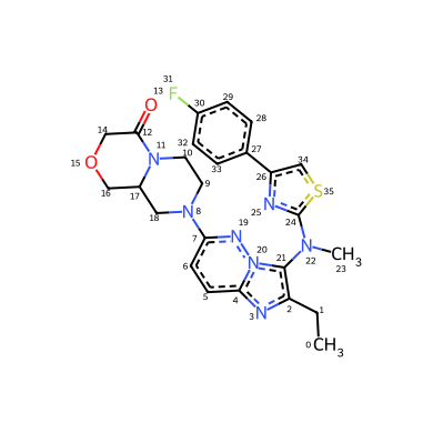 CCc1nc2ccc(N3CCN4C(=O)COCC4C3)nn2c1N(C)c1nc(-c2ccc(F)cc2)cs1